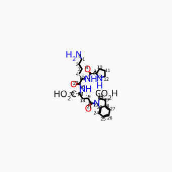 NCCCC[C@H](NC(=O)[C@H]1CCCN1)C(=O)N[C@H](CCC(=O)N1c2ccccc2C[C@H]1C(=O)O)C(=O)O